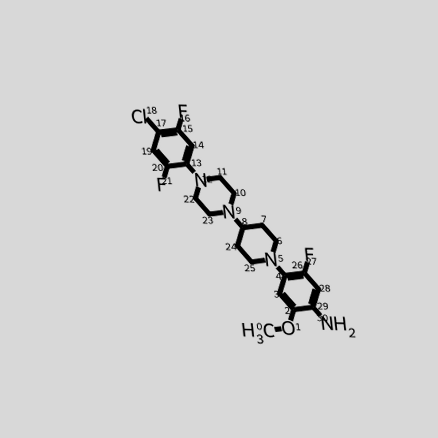 COc1cc(N2CCC(N3CCN(c4cc(F)c(Cl)cc4F)CC3)CC2)c(F)cc1N